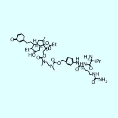 CCC(=O)O[C@]1(C(=O)COC(=O)N(C)CCN(C)C(=O)OCc2ccc(NC(=O)[C@H](CCCNC(N)=O)NC(=O)[C@@H](N)C(C)C)cc2)[C@H](C)C[C@H]2C(CCC3=CC(=O)C=CC3)C(CC)[C@@H](O)C[C@@]21C